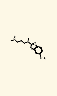 CN(C)CCCN(C)c1nc2cc([N+](=O)[O-])ccc2o1